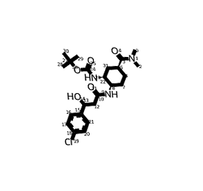 CN(C)C(=O)[C@H]1CC[C@H](NC(=O)CC(O)c2ccc(Cl)cc2)[C@H](NC(=O)OC(C)(C)C)C1